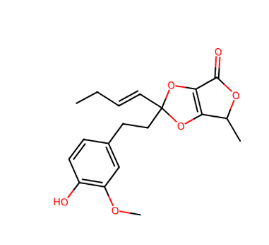 CC/C=C/C1(CCc2ccc(O)c(OC)c2)OC2=C(O1)C(C)OC2=O